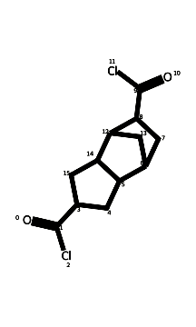 O=C(Cl)C1CC2C3CC(C(=O)Cl)C(C3)C2C1